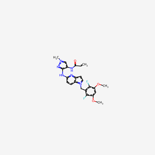 C=CC(=O)Nc1cn(C)nc1Nc1ccc2c(ccn2Cc2c(F)c(OC)cc(OC)c2F)n1